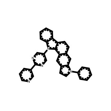 c1ccc(-n2ccc3cc4c(ccc5c6ccccc6n(-c6cnc(-c7cccnc7)nc6)c45)cc32)cc1